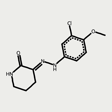 COc1ccc(N/N=C2\CCCNC2=O)cc1Cl